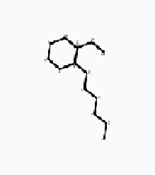 CCCCCCC1CCCCC1CC